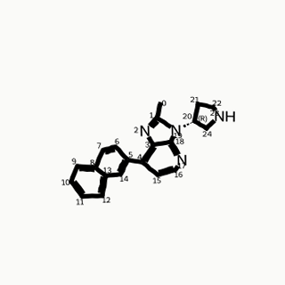 Cc1nc2c(-c3ccc4ccccc4c3)ccnc2n1[C@@H]1CCNC1